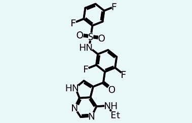 CCNc1ncnc2[nH]cc(C(=O)c3c(F)ccc(NS(=O)(=O)c4cc(F)ccc4F)c3F)c12